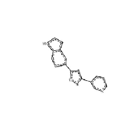 c1cncc(-c2noc(-c3ccc4[nH]ccc4c3)n2)c1